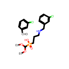 CCOC(OCC)P(=O)(O)CCCNCc1cccc(Cl)c1.O=Cc1cccc(Cl)c1